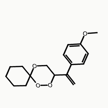 C=C(c1ccc(OC)cc1)C1COC2(CCCCC2)OO1